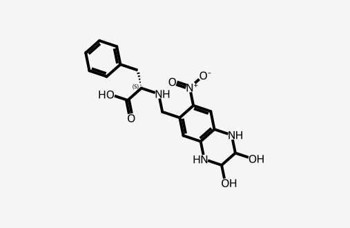 O=C(O)[C@H](Cc1ccccc1)NCc1cc2c(cc1[N+](=O)[O-])NC(O)C(O)N2